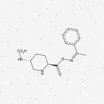 CC(=NOC(=O)[C@@H]1CC[C@@H](NC(=O)O)CN1)c1ccccc1